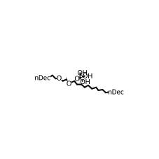 CCCCCCCCCCCCCCCCCCCCO[CH]COCCCCCCCCCCCC.O=P(O)(O)O